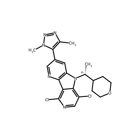 Cc1nnn(C)c1-c1cnc2c3c(Cl)ncc(Cl)c3n([C@H](C)C3CCOCC3)c2c1